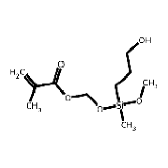 C=C(C)C(=O)OCO[Si](C)(CCCO)OC